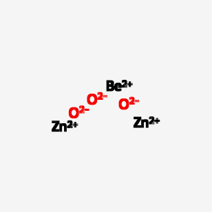 [Be+2].[O-2].[O-2].[O-2].[Zn+2].[Zn+2]